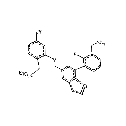 CCOC(=O)Cc1ccc(C(C)C)cc1OCc1cc(-c2cccc(CN)c2F)c2occc2c1